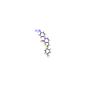 Nc1ccc(-n2ccc3cc(-c4ccc(Cl)cc4)sc3c2=O)cc1